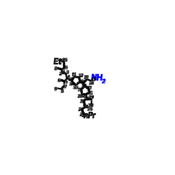 C=C(C=CC(C(=C)/C=C\C)c1ccc(/C(=C/CN)c2ccc(C(/C=C(C)/C=C\CCC)=C/C)cc2)cc1)/C=C\CC